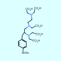 CC(=O)Nc1ccc(CC(CN(CCN(CC(=O)O)CC(=O)O)CC(=O)O)N(CC(=O)O)CC(=O)O)cc1